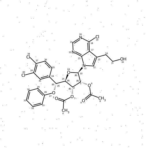 CC(=O)O[C@H]1[C@@H](OC(C)=O)[C@H](n2cc(CCO)c3c(Cl)ncnc32)O[C@@H]1[C@H](Oc1ccccc1)c1ccc(Cl)c(Cl)c1